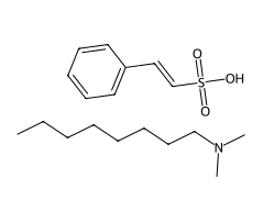 CCCCCCCCN(C)C.O=S(=O)(O)C=Cc1ccccc1